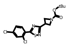 CC(C)(C)OC(=O)N1CC(c2nsc(-c3ccc(Cl)cc3Cl)n2)C1